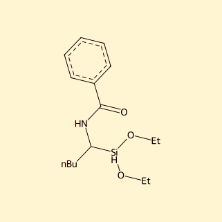 CCCCC(NC(=O)c1ccccc1)[SiH](OCC)OCC